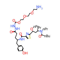 CCCCC(=O)N(CCC)C(CC(OCCC)c1nc(C(=O)NC(CCC(=O)NNC(=O)OCCOCCOCCN)Cc2ccc(O)cc2)cs1)C(C)C